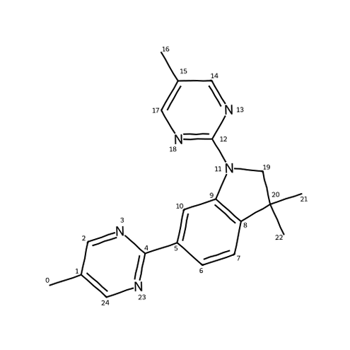 Cc1cnc(-c2ccc3c(c2)N(c2ncc(C)cn2)CC3(C)C)nc1